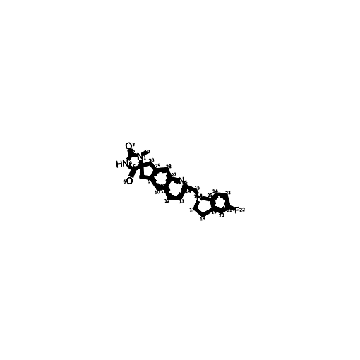 CN1C(=O)NC(=O)C12Cc1cc3ccc(CN4CCc5cc(F)ccc54)nc3cc1C2